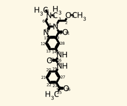 COCCn1c(CN(C)C)nc2ccc(NC(=O)Nc3cccc(C(C)=O)c3)cc2c1=O